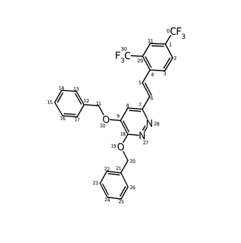 FC(F)(F)c1ccc(/C=C/c2cc(OCc3ccccc3)c(OCc3ccccc3)nn2)c(C(F)(F)F)c1